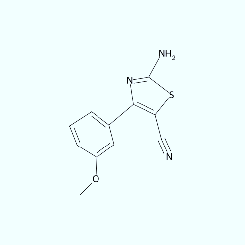 COc1cccc(-c2nc(N)sc2C#N)c1